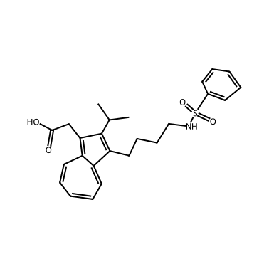 CC(C)c1c(CCCCNS(=O)(=O)c2ccccc2)c2cccccc-2c1CC(=O)O